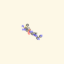 CN(C)CC[C@H](CSc1ccccc1)Nc1ccc(S(=O)(=O)NC(=O)c2ccc3c(c2)CC[C@H]2CN(Cc4cccnc4-c4ccncc4)CCN32)cc1[N+](=O)[O-]